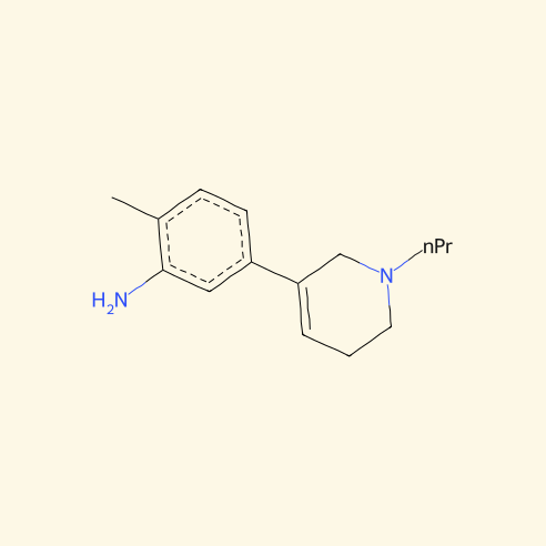 CCCN1CCC=C(c2ccc(C)c(N)c2)C1